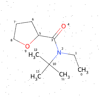 CCN(C(=O)C1CCCO1)C(C)(C)C